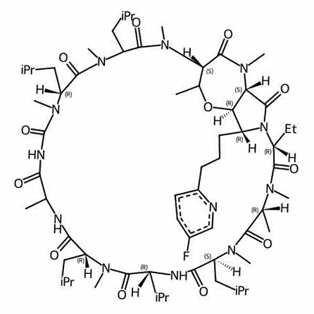 CC[C@@H]1C(=O)N(C)[C@H](C)C(=O)N(C)[C@@H](CC(C)C)C(=O)N[C@H](C(C)C)C(=O)N(C)[C@H](CC(C)C)C(=O)NC(C)C(=O)NC(=O)N(C)[C@H](CC(C)C)C(=O)N(C)C(CC(C)C)C(=O)N(C)[C@@H]2C(=O)N(C)[C@@H]3C(=O)N1[C@H](CCCc1ccc(F)cn1)[C@H]3OC2C